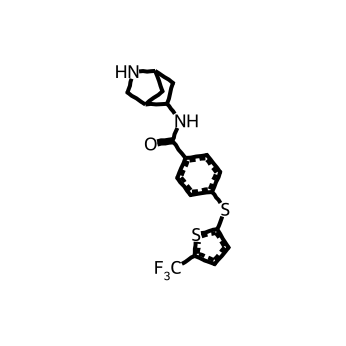 O=C(NC1CC2CC1CN2)c1ccc(Sc2ccc(C(F)(F)F)s2)cc1